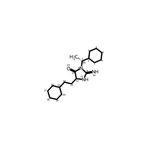 C[C@H](C1CCCCC1)N1C(=N)NC(CCC2CCCCC2)C1=O